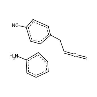 C=C=CCc1ccc(C#N)cc1.Nc1ccccc1